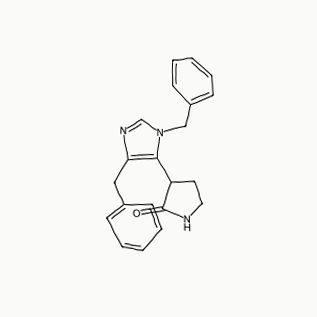 O=C1NCCC1c1c(Cc2ccccc2)ncn1Cc1ccccc1